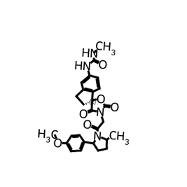 CNC(=O)Nc1ccc2c(c1)CC[C@@]21OC(=O)N(CC(=O)N2C(C)CCC2c2ccc(OC)cc2)C1=O